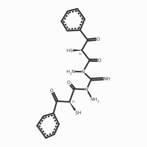 N=C(N(N)C(=O)[C@@H](S)C(=O)c1ccccc1)N(N)C(=O)[C@@H](S)C(=O)c1ccccc1